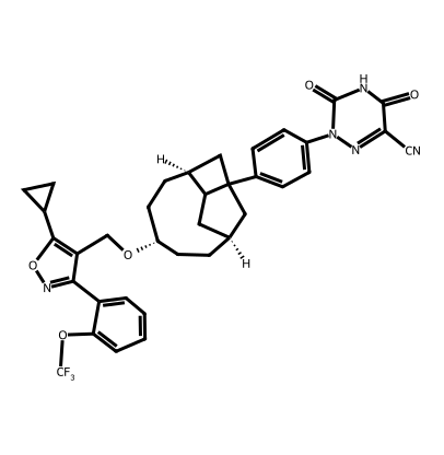 N#Cc1nn(-c2ccc(C34C[C@H]5CC[C@H](OCc6c(-c7ccccc7OC(F)(F)F)noc6C6CC6)CC[C@@H](C3)C4C5)cc2)c(=O)[nH]c1=O